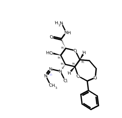 C/N=N\N(Cl)[C@@H]1[C@@H](O)[C@H](C(=O)NN)O[C@@H]2CCOC(c3ccccc3)O[C@H]12